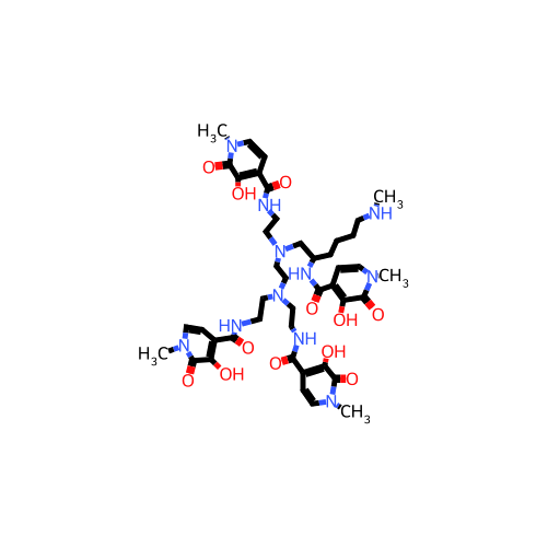 CNCCCCC(CN(CCNC(=O)c1ccn(C)c(=O)c1O)CCN(CCNC(=O)c1ccn(C)c(=O)c1O)CCNC(=O)c1ccn(C)c(=O)c1O)NC(=O)c1ccn(C)c(=O)c1O